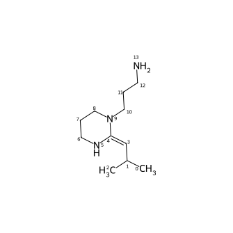 CC(C)/C=C1\NCCCN1CCCN